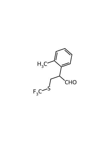 Cc1ccccc1C(C=O)CSC(F)(F)F